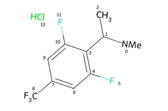 CNC(C)c1c(F)cc(C(F)(F)F)cc1F.Cl